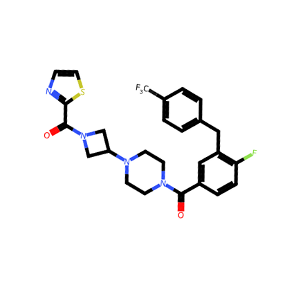 O=C(c1ccc(F)c(Cc2ccc(C(F)(F)F)cc2)c1)N1CCN(C2CN(C(=O)c3nccs3)C2)CC1